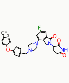 O=C1CCC(N2Cc3c(cc(F)cc3N3CCN(Cc4ccc(Oc5ccc(C(F)(F)F)cc5)cc4)CC3)C2=O)C(=O)N1